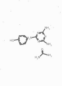 NC(N)=O.Nc1nc(N)nc(N)n1.Oc1ccccc1